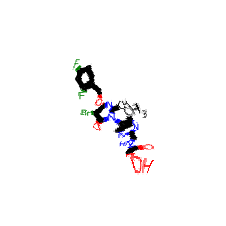 Cc1nc(CNC(=O)CO)ncc1-n1c(C)nc(OCc2ccc(F)cc2F)c(Br)c1=O